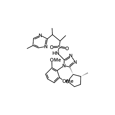 COc1cccc(OC)c1-n1c(NS(=O)(=O)C(C)C(C)c2ncc(C)cn2)nnc1[C@H]1OCC[C@H]1C